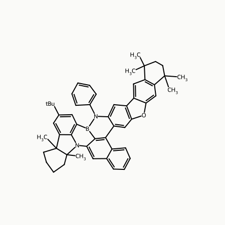 CC(C)(C)c1cc2c3c(c1)C1(C)CCCCC1(C)N3c1cc3ccccc3c3c1B2N(c1ccccc1)c1cc2c(cc1-3)oc1cc3c(cc12)C(C)(C)CCC3(C)C